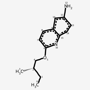 CC[C@H](C)COc1ccc2cc(N)ccc2n1